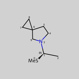 CS[C@H](C)N1CCC2(CC2)C1